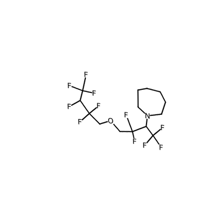 FC(C(F)(F)F)C(F)(F)COCC(F)(F)C(N1CCCCCC1)C(F)(F)F